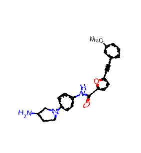 COc1cccc(C#Cc2ccc(C(=O)Nc3ccc(N4CCC(N)C4)cc3)o2)c1